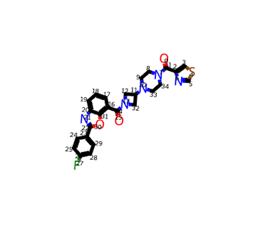 O=C(c1cscn1)N1CCN(C2CN(C(=O)c3cccc4nc(-c5ccc(F)cc5)oc34)C2)CC1